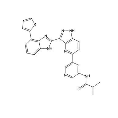 CC(C)C(=O)Nc1cncc(-c2ccc3[nH]nc(-c4nc5c(-c6cccs6)cccc5[nH]4)c3n2)c1